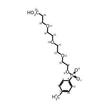 Cc1ccc(S(=O)(=O)OCCOCCOCCOCCC(=O)O)cc1